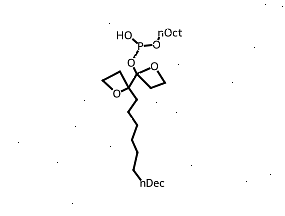 CCCCCCCCCCCCCCCCC1(C2(OP(O)OCCCCCCCC)CCO2)CCO1